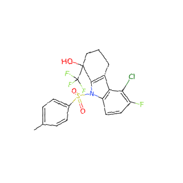 Cc1ccc(S(=O)(=O)n2c3c(c4c(Cl)c(F)ccc42)CCCC3(O)C(F)(F)F)cc1